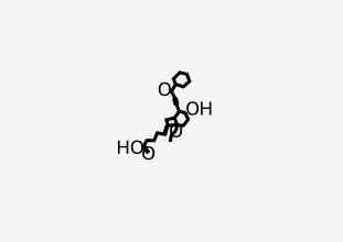 CCOC12CCC(O)C(C#CC(=O)C3CCCCC3)C1CC2=CCCCC(=O)O